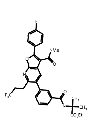 CCOC(=O)C(C)(C)NC(=O)c1cccc(-c2cc3c(C(=O)NC)c(-c4ccc(F)cc4)oc3nc2CCC(F)(F)F)c1